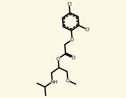 COCC(CNC(C)C)OC(=O)COc1ccc(Cl)cc1Cl